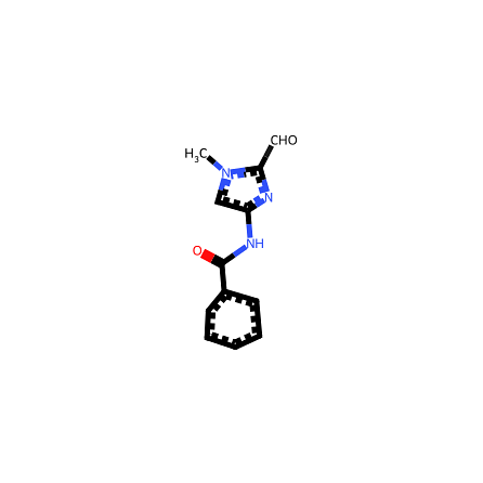 Cn1cc(NC(=O)c2ccccc2)nc1C=O